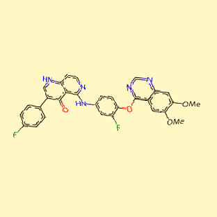 COc1cc2ncnc(Oc3ccc(Nc4nccc5[nH]cc(-c6ccc(F)cc6)c(=O)c45)cc3F)c2cc1OC